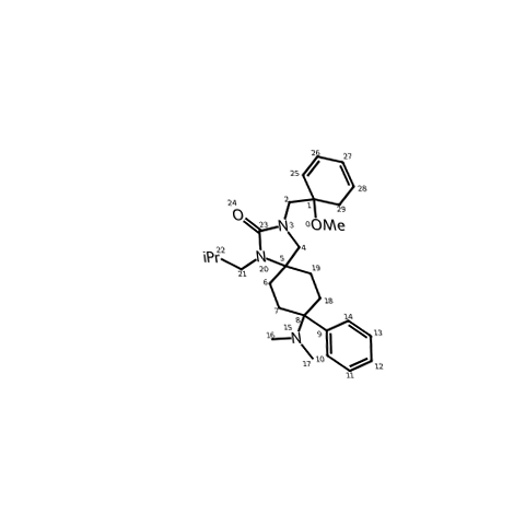 COC1(CN2CC3(CCC(c4ccccc4)(N(C)C)CC3)N(CC(C)C)C2=O)C=CC=CC1